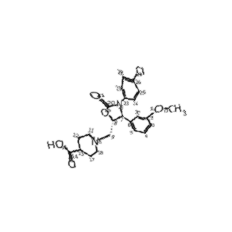 COc1cccc([C@H]2[C@H](CN3CCC(C(=O)O)CC3)OC(=O)N2c2ccc(Cl)cc2)c1